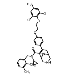 Cc1cc(Cl)c(OCCOc2ccc(C3=C(C(=O)N(Cc4cccc(C)c4C)C4CC4)C4CNCC(C3)N4)cc2)c(Cl)c1